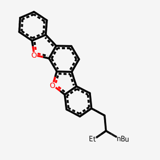 CCCCC(CC)Cc1ccc2oc3c(ccc4c5ccccc5oc43)c2c1